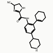 N#CC1CNC(C(=O)Nc2ccc(C3CCNCC3)cc2C2=CCCCC2)=N1